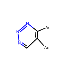 CC(=O)c1cnnnc1C(C)=O